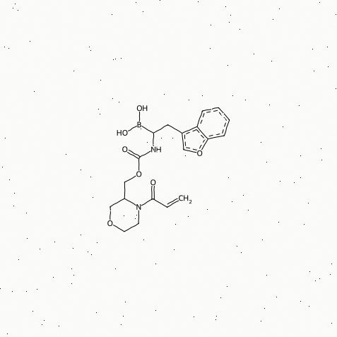 C=CC(=O)N1CCOCC1COC(=O)NC(Cc1coc2ccccc12)B(O)O